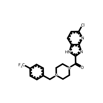 O=C(c1nc2nc(Cl)ccc2[nH]1)N1CCN(Cc2ccc(C(F)(F)F)cc2)CC1